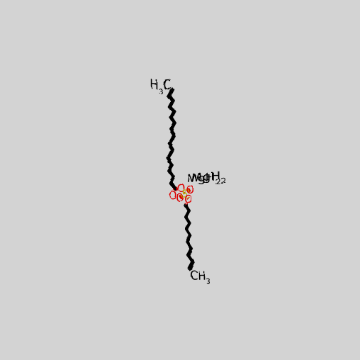 CCCCCCCCCCCCCCCCCC(=O)OS(=O)(=O)OCCCCCCCCCCCC.[MgH2].[MgH2]